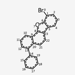 Brc1cccc2c1oc1c3cccc(-c4ccccc4)c3ccc21